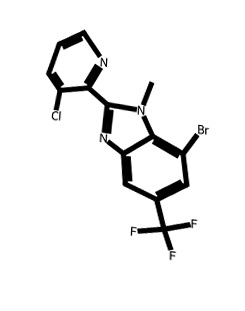 Cn1c(-c2ncccc2Cl)nc2cc(C(F)(F)F)cc(Br)c21